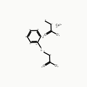 CCC(=O)[O-].CCC(=O)[O-].Ic1ccccc1.[Ca+2]